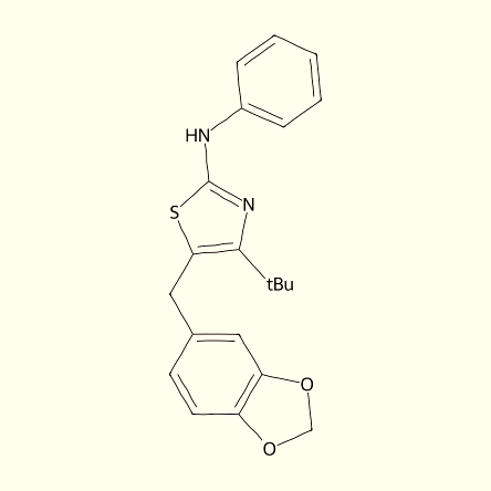 CC(C)(C)c1nc(Nc2ccccc2)sc1Cc1ccc2c(c1)OCO2